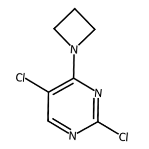 Clc1ncc(Cl)c(N2CCC2)n1